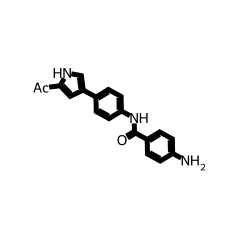 CC(=O)c1cc(-c2ccc(NC(=O)c3ccc(N)cc3)cc2)c[nH]1